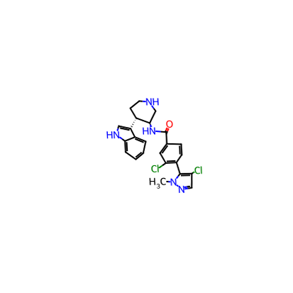 Cn1ncc(Cl)c1-c1ccc(C(=O)N[C@@H]2CNCC[C@H]2c2c[nH]c3ccccc23)cc1Cl